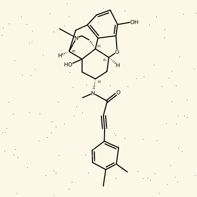 Cc1ccc(C#CC(=O)N(C)[C@H]2C[C@@H]3Oc4c(O)ccc5c4[C@@]34CCN(C)[C@H](C5)C4(O)C2)cc1C